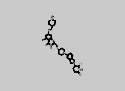 CC(=O)N1CCC(COc2cc(F)c3c(=O)[nH]c(CSC4CCN(c5ccc6c(c5)CN(C5CCC(=O)NC5=O)C6)CC4)nc3c2)CC1